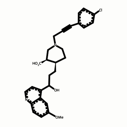 COc1ccc2nccc(C(O)CC[C@@H]3CCN(CC#Cc4ccc(Cl)cc4)C[C@@H]3C(=O)O)c2c1